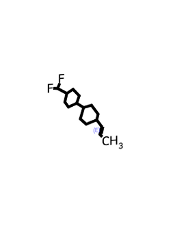 C/C=C/C1CCC(C2CCC(C(F)F)CC2)CC1